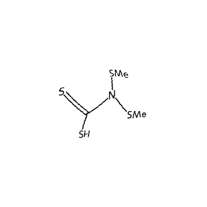 CSN(SC)C(=S)S